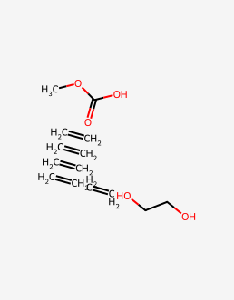 C=C.C=C.C=C.C=C.C=C.COC(=O)O.OCCO